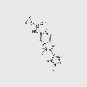 Cn1cnc(-c2cc3cnc(NC(=O)C4CC4)cc3n2C)n1